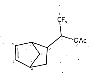 CC(=O)OC(C1CC2C=CC1C2)C(F)(F)F